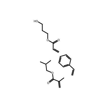 C=C(C)C(=O)OCC(C)C.C=CC(=O)OCCCO.C=Cc1ccccc1